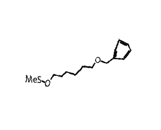 CSOCCCCCCOCc1ccccc1